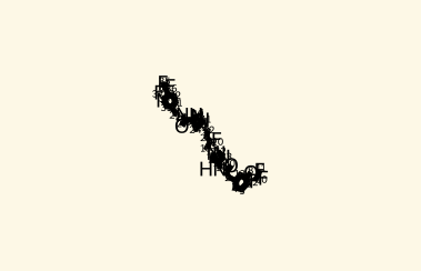 O=C(Cc1cccc(OC(F)(F)F)c1)Nc1cn(CC(F)CCn2cc(C(=O)NCc3ccc(C(F)(F)F)nc3)nn2)nn1